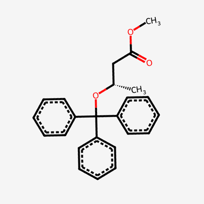 COC(=O)C[C@H](C)OC(c1ccccc1)(c1ccccc1)c1ccccc1